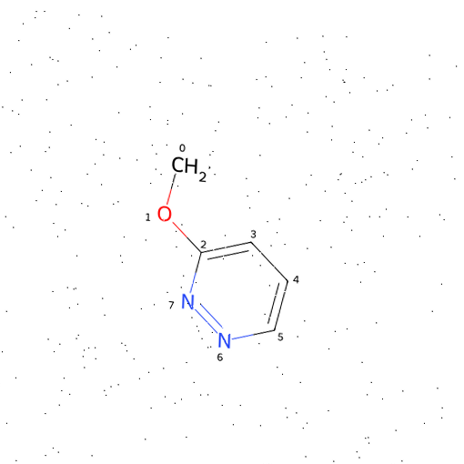 [CH2]Oc1cccnn1